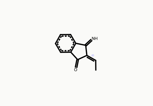 C/C=C1/C(=N)c2ccccc2C1=O